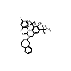 CC(C)(C)c1cc(CN(C(=O)Nc2ccc(F)cc2F)C2CCCc3ccccc3C2)cc(C(C)(C)C)c1O